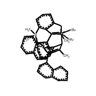 CCC[CH2][Zr]1([CH2]CCC)[CH]2C(C)=C(c3cccc4ccccc34)c3c2cccc3[Si](C)(C)c2cccc3c2C(c2cccc4ccccc24)=C(C)[CH]31